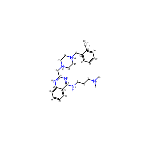 CN(C)CCCNc1nc(CN2CCN(Cc3ccccc3C(F)(F)F)CC2)nc2ccccc12